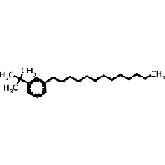 CCCCCCCCCCCCCc1[c]ccc(C(C)(C)C)c1